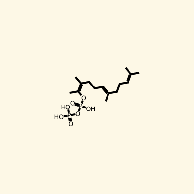 CC(C)=CCCC(C)=CCCC(C)=C(C)OP(=O)(O)OP(=O)(O)O